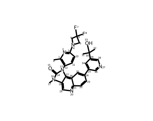 Cc1nc(N2CC(F)(F)C2)ccc1-n1c(=O)n(C)c2cnc3ccc(-c4cncc(C(C)(C)O)c4)cc3c21